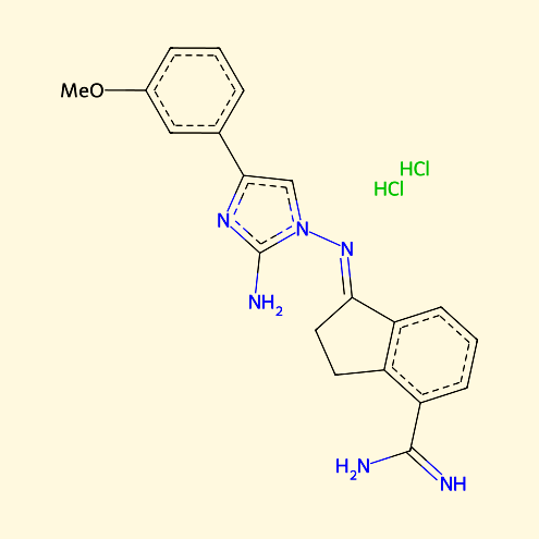 COc1cccc(-c2cn(N=C3CCc4c(C(=N)N)cccc43)c(N)n2)c1.Cl.Cl